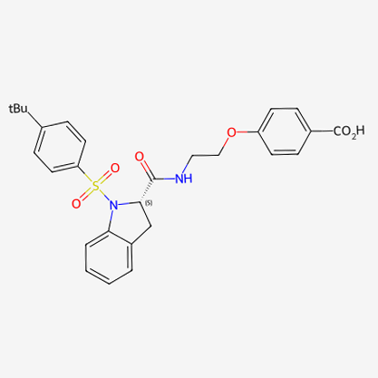 CC(C)(C)c1ccc(S(=O)(=O)N2c3ccccc3C[C@H]2C(=O)NCCOc2ccc(C(=O)O)cc2)cc1